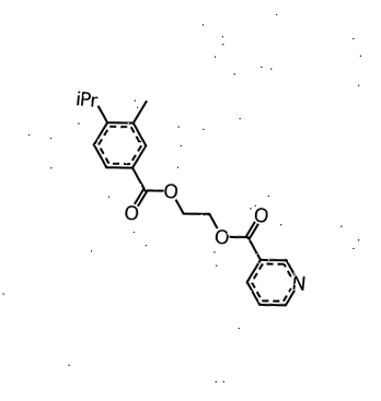 Cc1cc(C(=O)OCCOC(=O)c2cccnc2)ccc1C(C)C